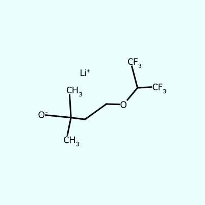 CC(C)([O-])CCOC(C(F)(F)F)C(F)(F)F.[Li+]